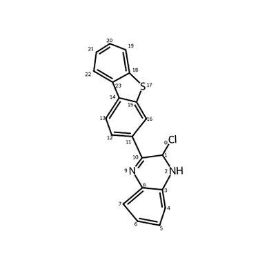 ClC1Nc2ccccc2N=C1c1ccc2c(c1)sc1ccccc12